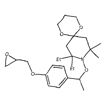 CCC1(CC)CC2(CC(C)(C)N1OC(C)c1ccc(OCC3CO3)cc1)OCCCO2